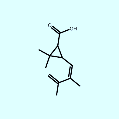 C=C(C)C(C)=CC1C(C(=O)O)C1(C)C